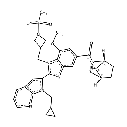 COc1cc(C(=O)N2C[C@H]3CC[C@@H]2[C@@H]3N)cc2nc(-c3cc4cccnc4n3CC3CC3)n(CC3CN(S(C)(=O)=O)C3)c12